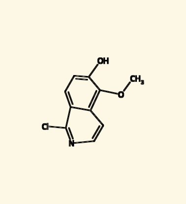 COc1c(O)ccc2c(Cl)nccc12